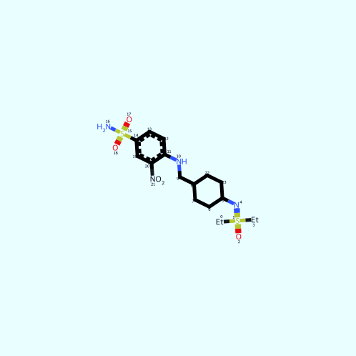 CCS(=O)(CC)=NC1CCC(CNc2ccc(S(N)(=O)=O)cc2[N+](=O)[O-])CC1